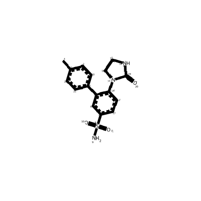 Cc1ccc(-c2cc(S(N)(=O)=O)ccc2N2CCNC2=O)cc1